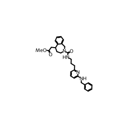 COC(=O)CC1CCN(C(=O)NCCCc2cccc(NCc3ccccc3)n2)Cc2ccccc21